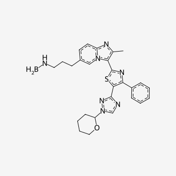 BNCCCc1ccc2nc(C)c(-c3nc(-c4ccccc4)c(-c4ncn(C5CCCCO5)n4)s3)n2c1